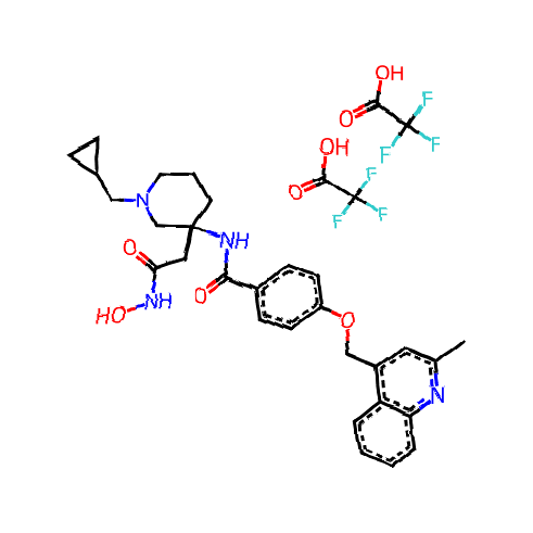 Cc1cc(COc2ccc(C(=O)NC3(CC(=O)NO)CCCN(CC4CC4)C3)cc2)c2ccccc2n1.O=C(O)C(F)(F)F.O=C(O)C(F)(F)F